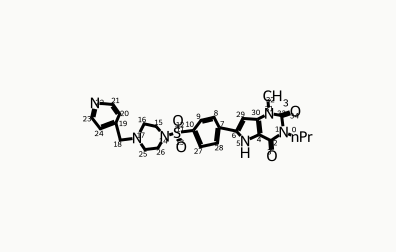 CCCn1c(=O)c2[nH]c(-c3ccc(S(=O)(=O)N4CCN(Cc5ccncc5)CC4)cc3)cc2n(C)c1=O